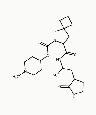 CN1CCC(OC(=O)N2CC3(CCC3)CC2C(=O)NC(C#N)CC2CCNC2=O)CC1